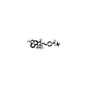 CC(C)(C)OC(=O)N1CCN(CCNC(=O)C2=CC3CNC4=CC=CC(=C2S(=O)(=O)O)N43)CC1